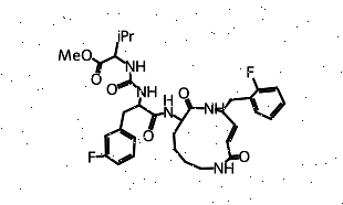 COC(=O)C(NC(=O)NC(Cc1cccc(F)c1)C(=O)NC1CCCCNC(=O)/C=C/[C@H](Cc2ccccc2F)NC1=O)C(C)C